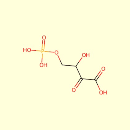 O=C(O)C(=O)C(O)COP(=O)(O)O